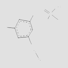 Clc1cc(Cl)cc(Cl)c1.NN.O=P(O)(O)O